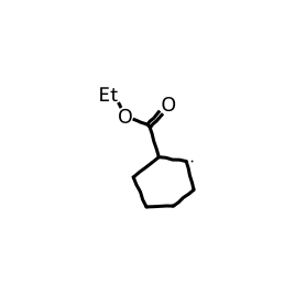 [CH2]COC(=O)C1[CH]CCCC1